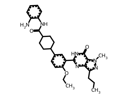 CCCc1nn(C)c2c(=O)[nH]c(-c3cc(C4CCC(C(=O)Nc5ccccc5N)CC4)ccc3OCC)nc12